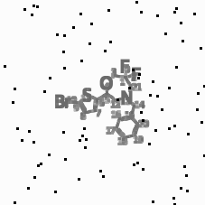 FC1(F)COC(c2ccc(Br)s2)CN(Cc2ccccc2)C1